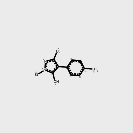 CCc1nn(CC)c(O)c1-c1ccc(C)cc1